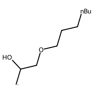 [CH2]C(O)COCCCCCCC